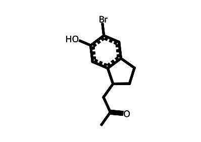 CC(=O)CC1CCc2cc(Br)c(O)cc21